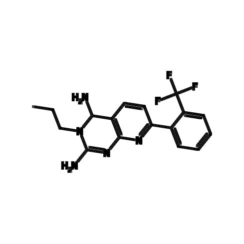 CCCN1C(N)=Nc2nc(-c3ccccc3C(F)(F)F)ccc2C1N